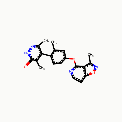 Cc1cc(Oc2nccc3onc(C)c23)ccc1-c1c(C)n[nH]c(=O)c1C